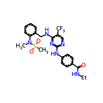 CCNC(=O)c1ccc(Nc2ncc(C(F)(F)F)c(NCc3ccccc3N(C)S(C)(=O)=O)n2)cc1